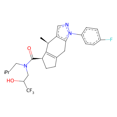 CC(C)CN(CC(O)C(F)(F)F)C(=O)[C@@H]1CCC2=C1[C@@H](C)c1cnn(-c3ccc(F)cc3)c1C2